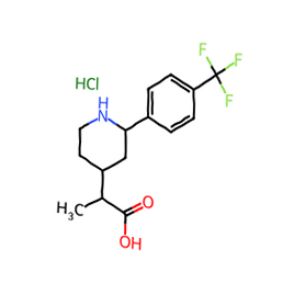 CC(C(=O)O)C1CCNC(c2ccc(C(F)(F)F)cc2)C1.Cl